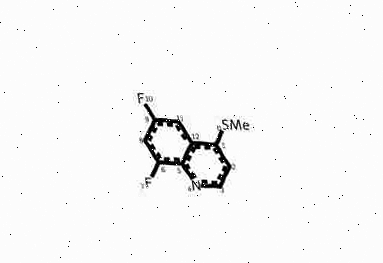 CSc1ccnc2c(F)cc(F)cc12